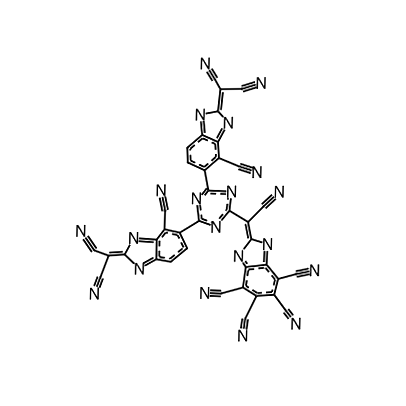 N#CC(C#N)=C1N=c2ccc(-c3nc(C(C#N)=C4N=c5c(C#N)c(C#N)c(C#N)c(C#N)c5=N4)nc(-c4ccc5c(c4C#N)=NC(=C(C#N)C#N)N=5)n3)c(C#N)c2=N1